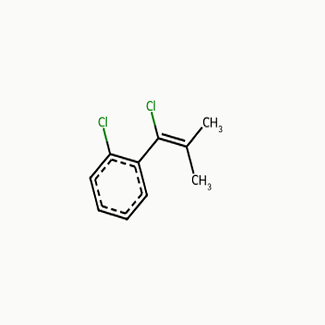 CC(C)=C(Cl)c1ccccc1Cl